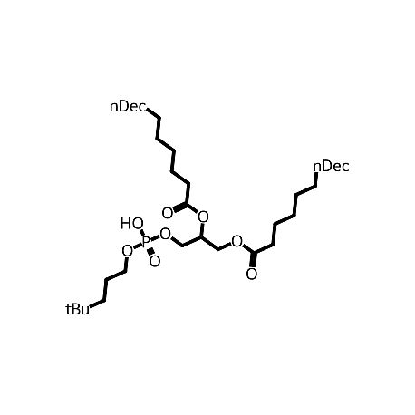 CCCCCCCCCCCCCCCC(=O)OCC(COP(=O)(O)OCCCC(C)(C)C)OC(=O)CCCCCCCCCCCCCCC